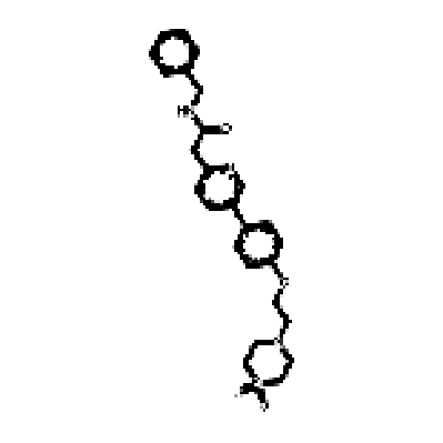 O=C(Cc1ccc(-c2ccc(OCCN3CCS(=O)(=O)CC3)cc2)cn1)NCc1ccccc1